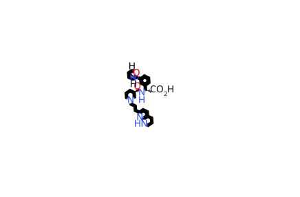 O=C(O)C[C@H](NC(=O)[C@@H]1CCCN(CCCc2ccc3c(n2)NCCC3)C1)c1cccc(N2C[C@@H]3CC[C@H]2CO3)c1